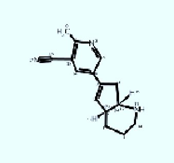 Cc1ncc(C2=C[C@H]3CCCN[C@H]3C2)cc1C#N